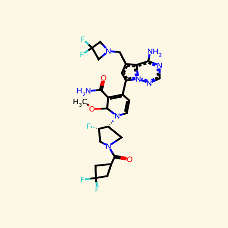 COC1C(C(N)=O)=C(c2cc(CN3CC(F)(F)C3)c3c(N)ncnn23)C=CN1[C@@H]1CN(C(=O)C2CC(F)(F)C2)C[C@@H]1F